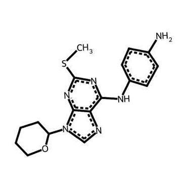 CSc1nc(Nc2ccc(N)cc2)c2ncn(C3CCCCO3)c2n1